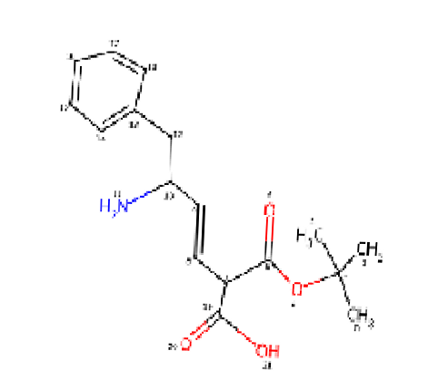 CC(C)(C)OC(=O)C(C=CC(N)Cc1ccccc1)C(=O)O